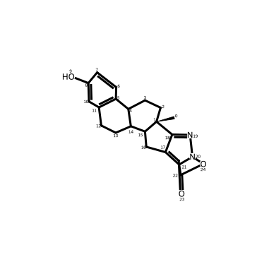 C[C@]12CCC3c4ccc(O)cc4CCC3C1Cc1c2nn2c1C(=O)O2